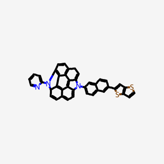 C1=CC2c3c4c(ccc5c4c4c(n(-c6ccc7cc(-c8cc9sccc9s8)ccc7c6)c6ccc1c3c46)=CC5)N2c1ccccn1